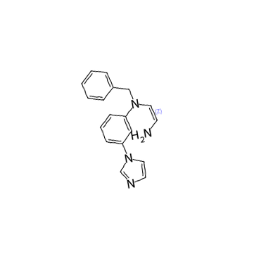 N/C=C\N(Cc1ccccc1)c1cccc(-n2ccnc2)c1